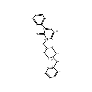 O=c1c(-c2ccccc2)cncn1CC1CCN(Cc2ccccc2)CC1